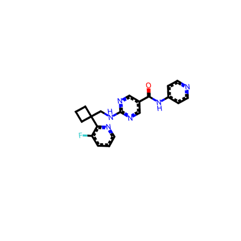 O=C(Nc1ccncc1)c1cnc(NCC2(c3ncccc3F)CCC2)nc1